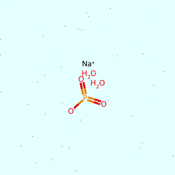 O.O.O=P(=O)[O-].[Na+]